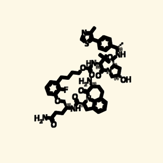 Cc1ncsc1-c1ccc([C@H](C)NC(=O)[C@@H]2C[C@@H](O)CN2C(=O)[C@@H](NC(=O)OCCCCc2cccc(OC[C@H](CCC(N)=O)NC(=O)[C@@H]3Cc4cccc5c4N3C(=O)[C@@H](N)CC5)c2F)C(C)(C)C)cc1